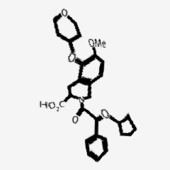 COc1ccc2c(c1OC1CCOCC1)CC(C(=O)O)N(C(=O)C(OC1CCCC1)c1ccccc1)C2